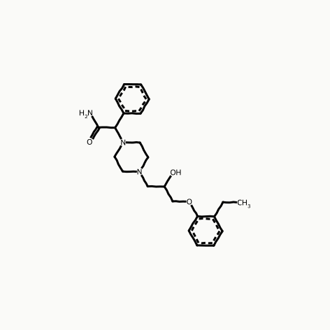 CCc1ccccc1OCC(O)CN1CCN(C(C(N)=O)c2ccccc2)CC1